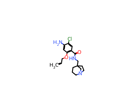 C=CCOc1cc(N)c(Cl)cc1C(=O)NCC12CCCN(CC1)C2